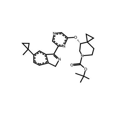 CC(C)(C)OC(=O)N1CCC2(CC2)[C@@H](Oc2cncc(C3=NCc4ccc(C5(C)CC5)cc43)n2)C1